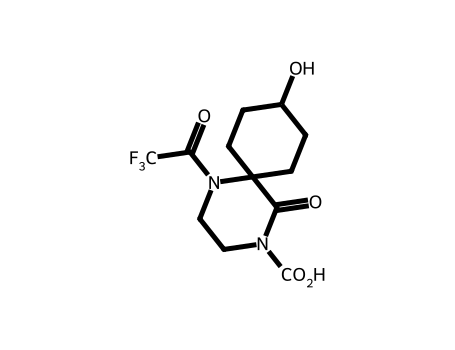 O=C(O)N1CCN(C(=O)C(F)(F)F)C2(CCC(O)CC2)C1=O